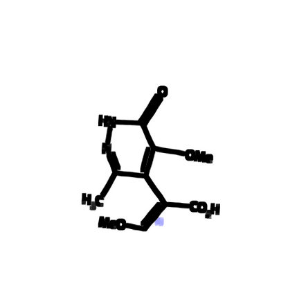 CO/C=C(/C(=O)O)c1c(C)n[nH]c(=O)c1OC